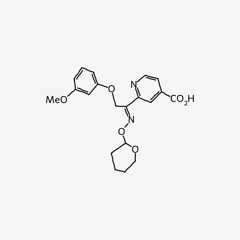 COc1cccc(OC/C(=N\OC2CCCCO2)c2cc(C(=O)O)ccn2)c1